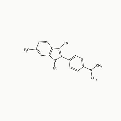 CCn1c(-c2ccc(N(C)C)cc2)c(C#N)c2ccc(C(F)(F)F)cc21